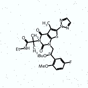 CCNC(=O)C(C)(C)n1c(=O)c2c(C)c(-n3nccn3)sc2n(C[C@H](OCC(C)C)c2cc(F)ccc2OC)c1=O